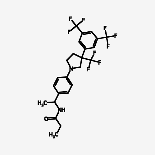 CCC(=O)NC(C)c1ccc(N2CCC(c3cc(C(F)(F)F)cc(C(F)(F)F)c3)(C(F)(F)F)C2)cc1